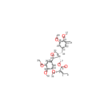 C/C=C(/C)C(=O)OC[C@H]1[C@@H](Cc2cc(C)c(OC)c(OC)c2)CO[C@@H]1c1cc(OC)c(OC)c(OC)c1